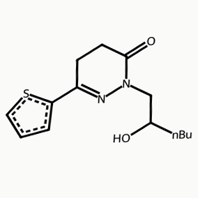 CCCCC(O)CN1N=C(c2cccs2)CCC1=O